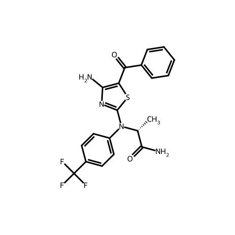 C[C@H](C(N)=O)N(c1ccc(C(F)(F)F)cc1)c1nc(N)c(C(=O)c2ccccc2)s1